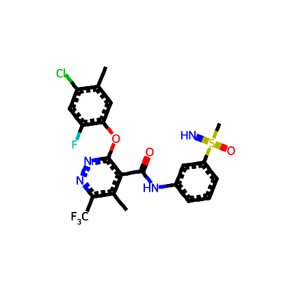 Cc1cc(Oc2nnc(C(F)(F)F)c(C)c2C(=O)Nc2cccc(S(C)(=N)=O)c2)c(F)cc1Cl